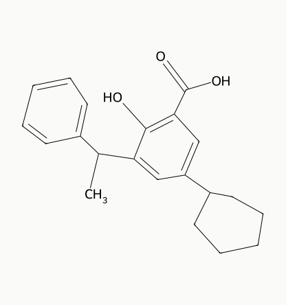 CC(c1ccccc1)c1cc(C2CCCCC2)cc(C(=O)O)c1O